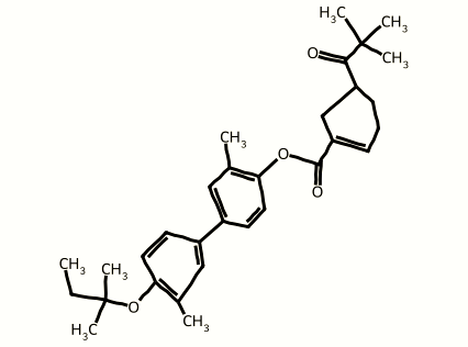 CCC(C)(C)Oc1ccc(-c2ccc(OC(=O)C3=CCCC(C(=O)C(C)(C)C)C3)c(C)c2)cc1C